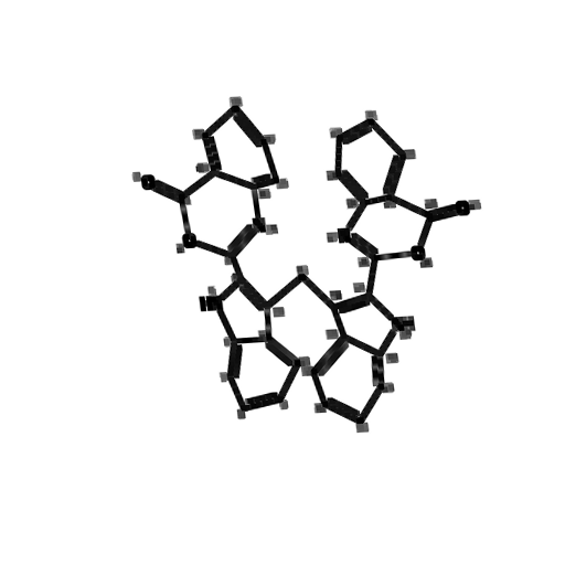 O=c1oc(-c2[nH]c3ccccc3c2Cc2c(-c3nc4ccccc4c(=O)o3)[nH]c3ccccc23)nc2ccccc12